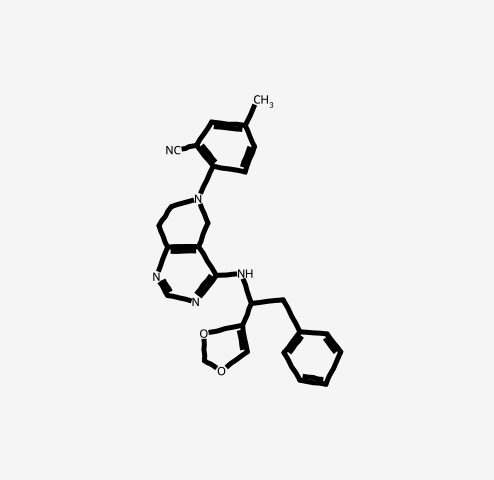 Cc1ccc(N2CCc3ncnc(NC(Cc4ccccc4)C4=COCO4)c3C2)c(C#N)c1